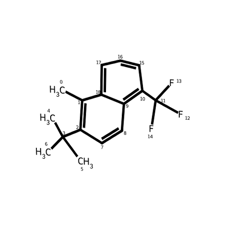 Cc1c(C(C)(C)C)ccc2c(C(F)(F)F)cccc12